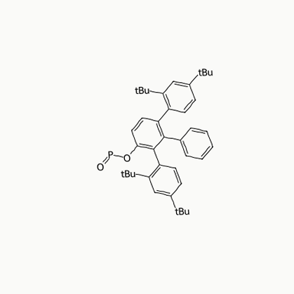 CC(C)(C)c1ccc(-c2ccc(OP=O)c(-c3ccc(C(C)(C)C)cc3C(C)(C)C)c2-c2ccccc2)c(C(C)(C)C)c1